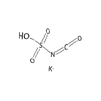 O=C=NS(=O)(=O)O.[K]